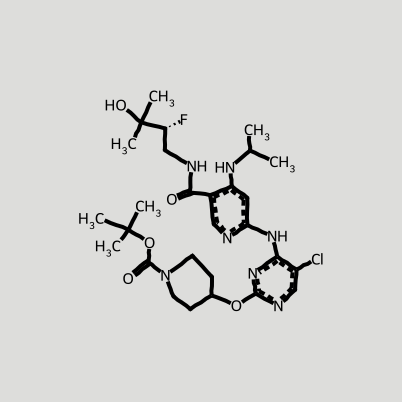 CC(C)Nc1cc(Nc2nc(OC3CCN(C(=O)OC(C)(C)C)CC3)ncc2Cl)ncc1C(=O)NC[C@@H](F)C(C)(C)O